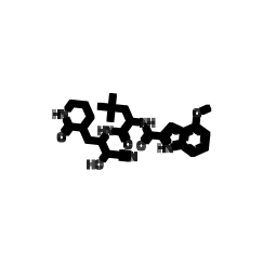 COc1cccc2[nH]c(C(=O)NC(CC(C)(C)C)C(=O)NC(CC3CCCNC3=O)C(O)C#N)cc12